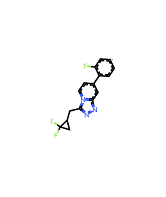 Fc1c[c]ccc1-c1ccn2c(CC3CC3(F)F)nnc2c1